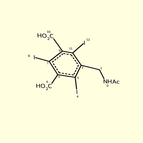 CC(=O)NCc1c(I)c(C(=O)O)c(I)c(C(=O)O)c1I